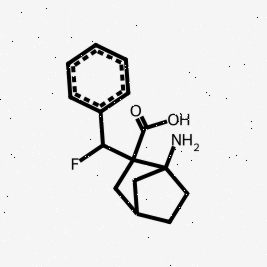 NC12CCC(C1)CC2(C(=O)O)C(F)c1ccccc1